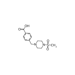 CS(=O)(=O)N1CCN(Cc2ccc(C(=O)O)cc2)CC1